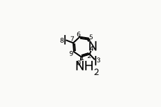 NC1=C(I)N=C=CC(I)=C1